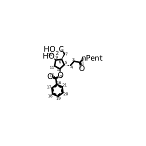 CCCCCC(=O)CC[C@H]1[C@H](CC(=O)O)[C@H](O)C[C@@H]1OC(=O)c1ccccc1